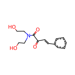 O=C(/C=C/c1ccccc1)C(=O)N(CCO)CCO